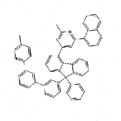 Cc1ccc(-c2cccc(-c3cccc(C4(c5ccccc5)c5ccccc5-c5c(-c6cc(-c7cccc8ccccc78)nc(C)n6)cccc54)c3)c2)nc1